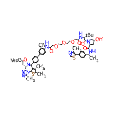 COC(=O)C[C@@H]1N=C(c2ccc(-c3ccc(NC(=O)COCCOCCOCC(=O)N[C@H](C(=O)N4C[C@H](O)C[C@H]4C(=O)N[C@@H](C)c4ccc(-c5scnc5C)cc4)C(C)(C)C)c(C#N)c3)cc2)c2c(sc(C)c2C)-n2c(C)nnc21